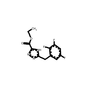 CCOC(=O)c1nnc(Cc2cc(F)cc(F)c2F)[nH]1